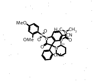 COc1ccc(S(=O)(=O)N2C(=O)C(c3ccccc3OC)(N3CCCC[C@@H]3OC(=O)N(C)C)c3cc(C#N)ccc32)c(OC)c1